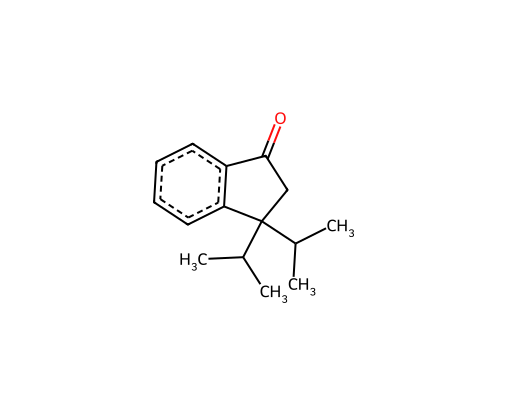 CC(C)C1(C(C)C)CC(=O)c2ccccc21